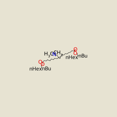 CCCCCCC(CCCC)COC(=O)CCCCCCCCC1(CCN(C)C)CC1CCCCCCCC(=O)OCC(CCCC)CCCCCC